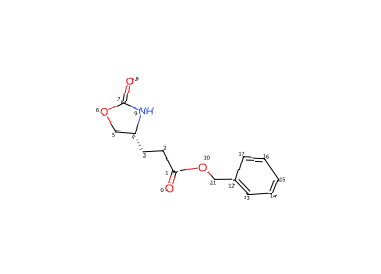 O=C(CC[C@@H]1COC(=O)N1)OCc1ccccc1